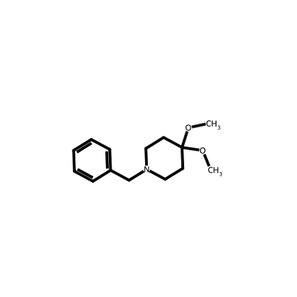 COC1(OC)CCN(Cc2ccccc2)CC1